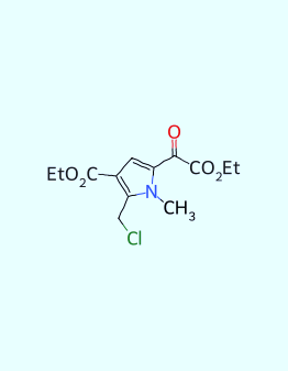 CCOC(=O)C(=O)c1cc(C(=O)OCC)c(CCl)n1C